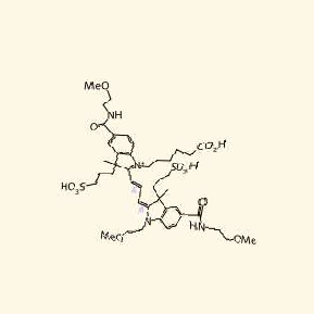 COCCNC(=O)c1ccc2c(c1)C(C)(CCCS(=O)(=O)O)C(/C=C/C=C1/N(CCOC)c3ccc(C(=O)NCCOC)cc3C1(C)CCCS(=O)(=O)O)=[N+]2CCCCCC(=O)O